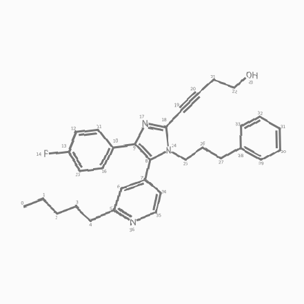 CCCCCc1cc(-c2c(-c3ccc(F)cc3)nc(C#CCCO)n2CCCc2ccccc2)ccn1